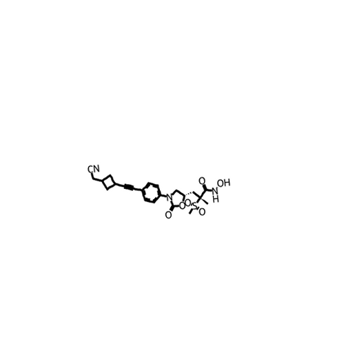 C[C@@](C[C@H]1CN(c2ccc(C#CC3CC(CC#N)C3)cc2)C(=O)O1)(C(=O)NO)S(C)(=O)=O